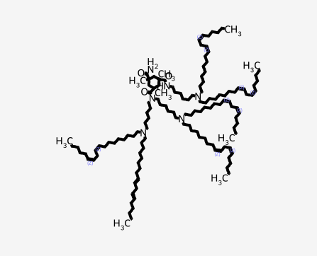 CCCCCC=CCC=CCCCCCCCCN(CCCCCCCC/C=C\C/C=C\CCCCC)CCCCCCN(CCCCCCN(CCCCCCCC/C=C\C/C=C\CCCCC)CCCCCCCC/C=C\C/C=C\CCCCC)C(=O)C1(C)CC(C)(C(N)=O)CC(C)(C(=O)NCCCCCCN(CCCCCCCC/C=C\C/C=C\CCCCC)CCCCCCCC/C=C\C/C=C\CCCCC)C1